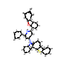 c1ccc(-c2cc(-n3c4ccccc4c4c5sc6ccccc6c5ccc43)cc(-c3cccc4c3oc3ccccc34)n2)cc1